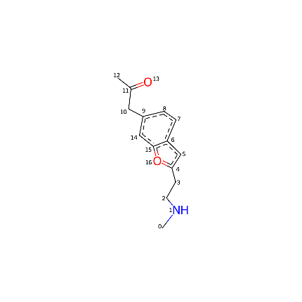 CNCCc1cc2ccc(CC(C)=O)cc2o1